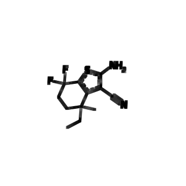 CCC1(C)CCC(F)(F)c2sc(N)c(C#N)c21